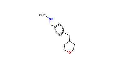 O=CNCc1ccc(CC2CCOCC2)cc1